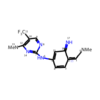 CN/C=C1/C=CC(Nc2ncc(C(F)(F)F)c(NC)n2)=CC1=N